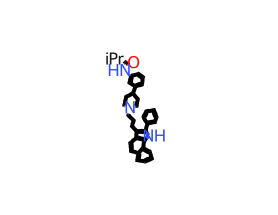 CC(C)C(=O)Nc1cccc(C2CCN(CCCc3c(-c4ccccc4)[nH]c4c3ccc3ccccc34)CC2)c1